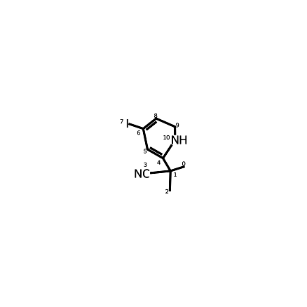 CC(C)(C#N)C1=CC(I)=CCN1